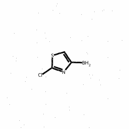 Bc1csc(Cl)n1